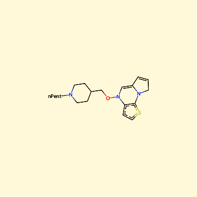 CCCCCN1CCC(CON2C=C3C=CCN3c3sccc32)CC1